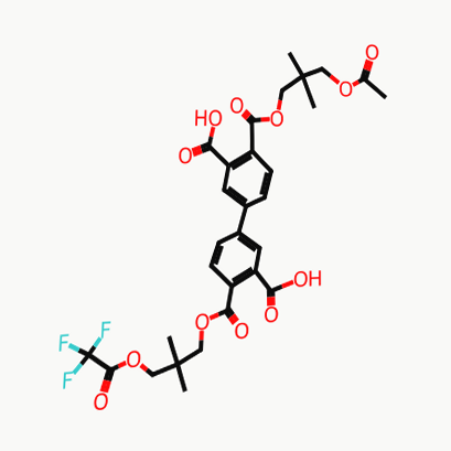 CC(=O)OCC(C)(C)COC(=O)c1ccc(-c2ccc(C(=O)OCC(C)(C)COC(=O)C(F)(F)F)c(C(=O)O)c2)cc1C(=O)O